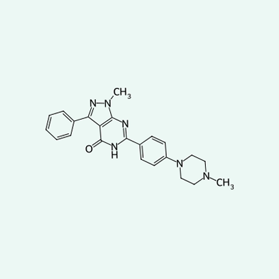 CN1CCN(c2ccc(-c3nc4c(c(-c5ccccc5)nn4C)c(=O)[nH]3)cc2)CC1